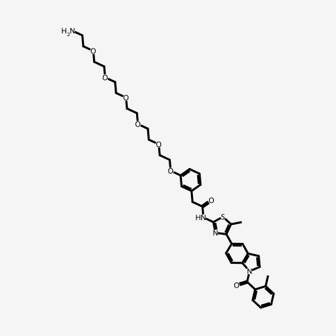 Cc1ccccc1C(=O)n1ccc2cc(-c3nc(NC(=O)Cc4cccc(OCCOCCOCCOCCOCCOCCN)c4)sc3C)ccc21